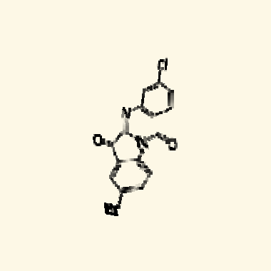 O=C1c2cc(Br)ccc2-n2c1nc1cc(Cl)ccc1c2=O